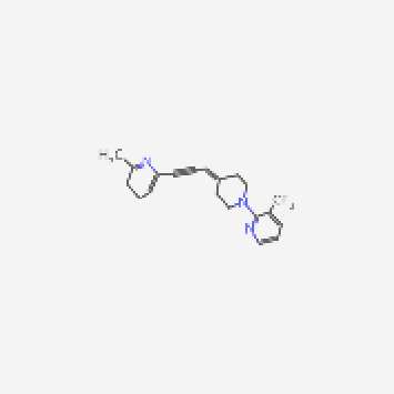 CC1=NC(C#CC=C2CCN(c3ncccc3C(F)(F)F)CC2)=CCC1